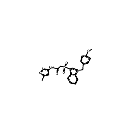 COc1ccc(Cn2cc(S(=O)(=O)CC(=O)Nc3cc(C)on3)c3ccccc32)cc1